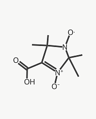 CC1(C)C(C(=O)O)=[N+]([O-])C(C)(C)N1[O]